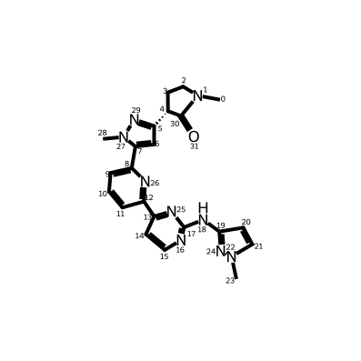 CN1CC[C@@H](c2cc(-c3cccc(-c4ccnc(Nc5ccn(C)n5)n4)n3)n(C)n2)C1=O